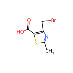 Cc1nc(CBr)c(C(=O)O)s1